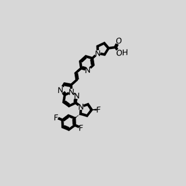 O=C(O)C1CCN(c2ccc(/C=C/c3cnc4ccc(N5C[C@@H](F)C[C@@H]5c5cc(F)ccc5F)nn34)nc2)C1